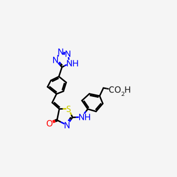 O=C(O)Cc1ccc(NC2=NC(=O)C(=Cc3ccc(-c4nnn[nH]4)cc3)S2)cc1